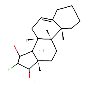 C[C@]12CCCCC1=CC[C@@H]1[C@H]2CC[C@]2(C)C(O)C(F)C(O)[C@@H]12